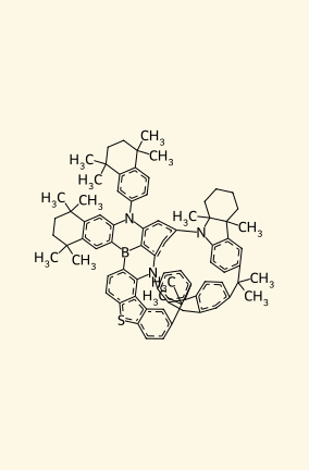 CC1(C)CCC(C)(C)c2cc(N3c4cc5c(cc4B4c6ccc7sc8ccc9cc8c7c6N6c7ccc(c8c7Cc7cc(ccc7-8)C(C)(C)c7ccc8c(c7)C7(C)CCCCC7(C)N8c7cc3c4c6c7)C9(C)C)C(C)(C)CCC5(C)C)ccc21